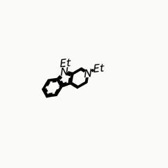 CCN1CCc2c(n(CC)c3ccccc23)C1